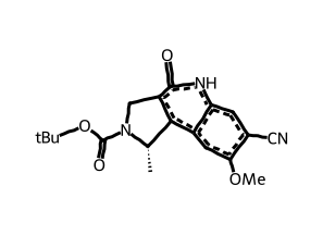 COc1cc2c3c(c(=O)[nH]c2cc1C#N)CN(C(=O)OC(C)(C)C)[C@H]3C